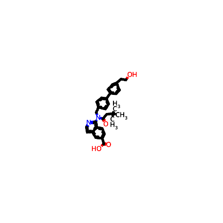 CC(C)(C)CC(=O)N(Cc1ccc(-c2ccc(CCO)cc2)cc1)c1nccc2cc(C(=O)O)ccc12